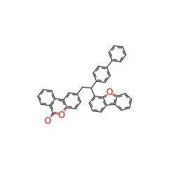 O=c1oc2ccc(CC(c3ccc(-c4ccccc4)cc3)c3cccc4c3oc3ccccc34)cc2c2ccccc12